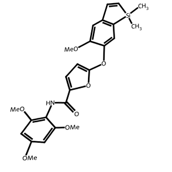 COc1cc(OC)c(NC(=O)c2ccc(Oc3cc4c(cc3OC)C=C[Si]4(C)C)o2)c(OC)c1